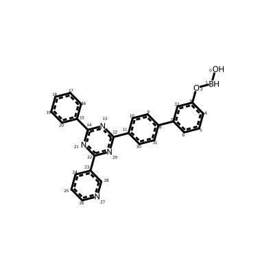 OBOc1cccc(-c2ccc(-c3nc(-c4ccccc4)nc(-c4cccnc4)n3)cc2)c1